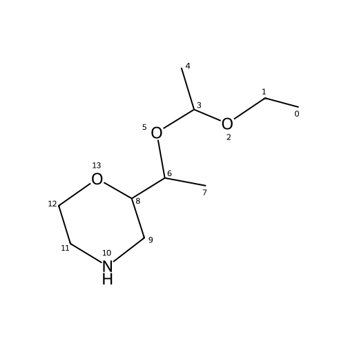 CCOC(C)OC(C)C1CNCCO1